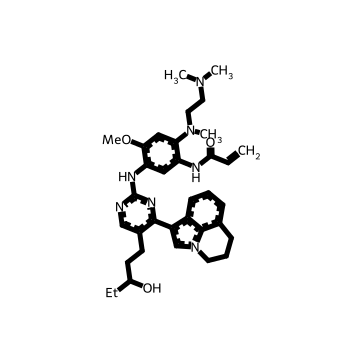 C=CC(=O)Nc1cc(Nc2ncc(CCC(O)CC)c(-c3cn4c5c(cccc35)CCC4)n2)c(OC)cc1N(C)CCN(C)C